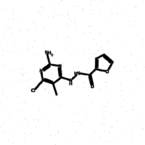 Cc1c(Cl)nc(N)nc1NNC(=O)c1ccco1